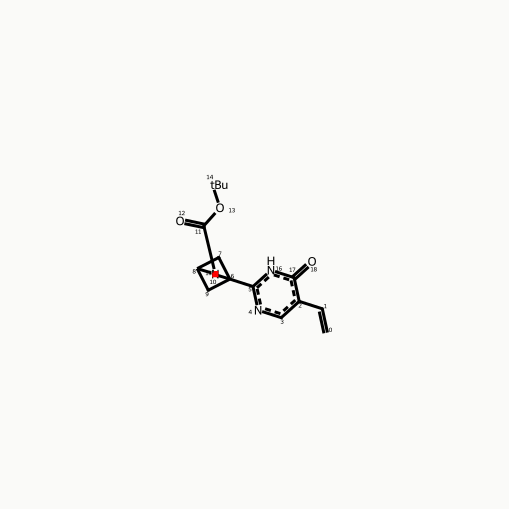 C=Cc1cnc(C23CC(C2)N(C(=O)OC(C)(C)C)C3)[nH]c1=O